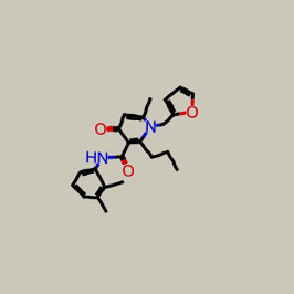 CCCc1c(C(=O)Nc2cccc(C)c2C)c(=O)cc(C)n1Cc1ccco1